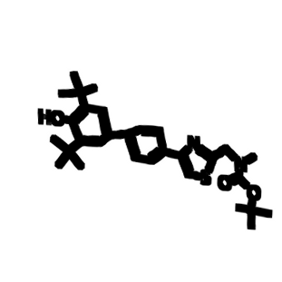 CN(Cc1nc(-c2ccc(-c3cc(C(C)(C)C)c(O)c(C(C)(C)C)c3)cc2)cs1)C(=O)OC(C)(C)C